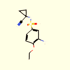 CCOc1ccc(S(=O)(=O)NC2(C#N)CC2)cc1N